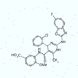 COc1ccc(C(=O)O)cc1NC(=O)C1=C(C)NC(Nc2nc3ccc(F)cc3o2)=NC1c1ccccc1Cl